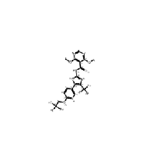 COc1ncnc(OC)c1C(=O)Nc1nc(C(F)(F)F)c(-c2ccc(OCC(F)(F)F)nc2)s1